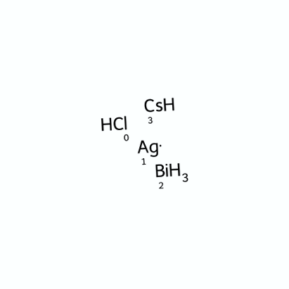 Cl.[Ag].[BiH3].[CsH]